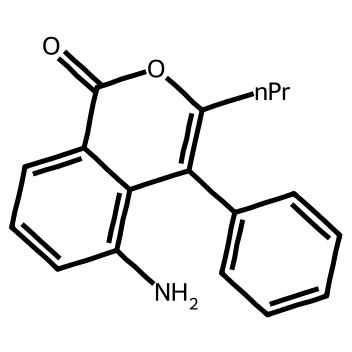 CCCc1oc(=O)c2cccc(N)c2c1-c1ccccc1